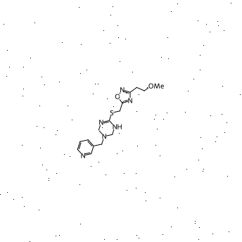 COCCc1noc(CSC2=NCN(Cc3cccnc3)CN2)n1